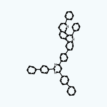 c1ccc(-c2ccc(-c3cc(-c4ccc(-c5ccc6nc(-c7ccccc7)c7c(ccc8ccc(-c9ccccc9)nc87)c6c5)cc4)nc(-c4ccc(-c5ccccc5)cc4)n3)cc2)cc1